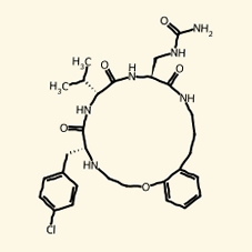 CC(C)[C@H]1NC(=O)[C@@H](Cc2ccc(Cl)cc2)NCCOc2ccccc2CCCNC(=O)[C@H](CNC(N)=O)NC1=O